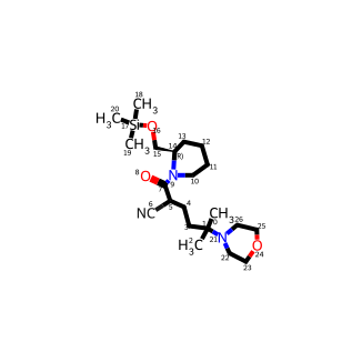 CC(C)(CCC(C#N)C(=O)N1CCCC[C@@H]1CO[Si](C)(C)C)N1CCOCC1